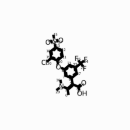 CC(=C(C(=O)O)c1cc(Oc2ccc(S(C)(=O)=O)cc2Cl)cc(C(F)(F)F)c1)N(C)C